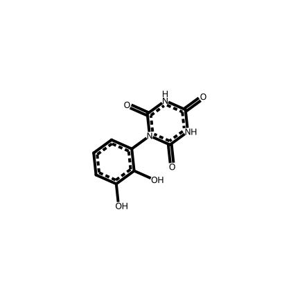 O=c1[nH]c(=O)n(-c2cccc(O)c2O)c(=O)[nH]1